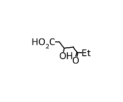 CCC(=O)CC(O)CC(=O)O